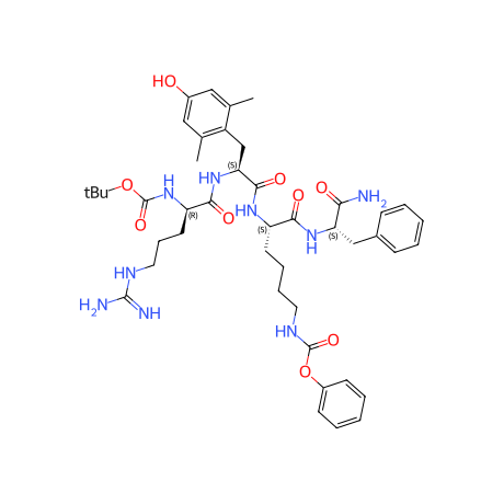 Cc1cc(O)cc(C)c1C[C@H](NC(=O)[C@@H](CCCNC(=N)N)NC(=O)OC(C)(C)C)C(=O)N[C@@H](CCCCNC(=O)Oc1ccccc1)C(=O)N[C@@H](Cc1ccccc1)C(N)=O